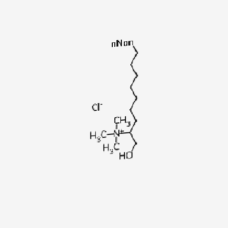 CCCCCCCCCCCCCCCCC(CO)[N+](C)(C)C.[Cl-]